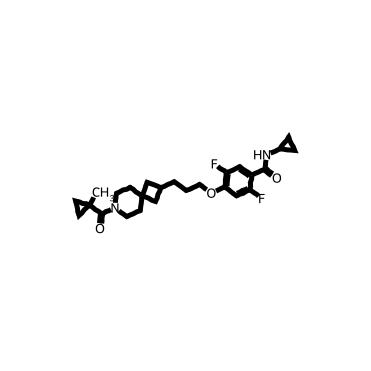 CC1(C(=O)N2CCC3(CC2)CC(CCCOc2cc(F)c(C(=O)NC4CC4)cc2F)C3)CC1